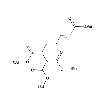 COC(=O)/C=C/CCC(C(=O)OC(C)(C)C)N(C(=O)OC(C)(C)C)C(=O)OC(C)(C)C